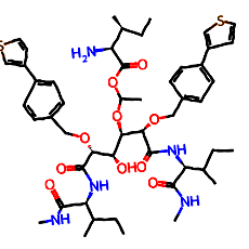 CCC(C)[C@H](NC(=O)[C@H](OCc1ccc(-c2ccsc2)cc1)[C@H](O)[C@@H](OC(C)OC(=O)[C@@H](N)[C@@H](C)CC)[C@@H](OCc1ccc(-c2ccsc2)cc1)C(=O)N[C@H](C(=O)NC)C(C)CC)C(=O)NC